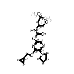 CC(C)C[C@@H](CO)NC(=O)Oc1cnc(N2CCCC2)c(OCC2CC2)n1